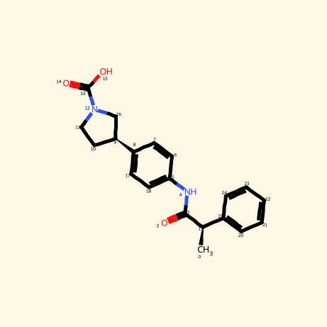 C[C@@H](C(=O)Nc1ccc([C@H]2CCN(C(=O)O)C2)cc1)c1ccccc1